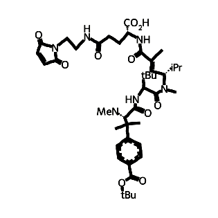 CN[C@H](C(=O)NC(C(=O)N(C)[C@H](/C=C(\C)C(=O)N[C@H](CCC(=O)NCCN1C(=O)C=CC1=O)C(=O)O)C(C)C)C(C)(C)C)C(C)(C)c1ccc(C(=O)OC(C)(C)C)cc1